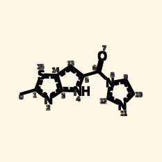 Cc1nc2[nH]c(C(=O)n3ccnc3)cc2s1